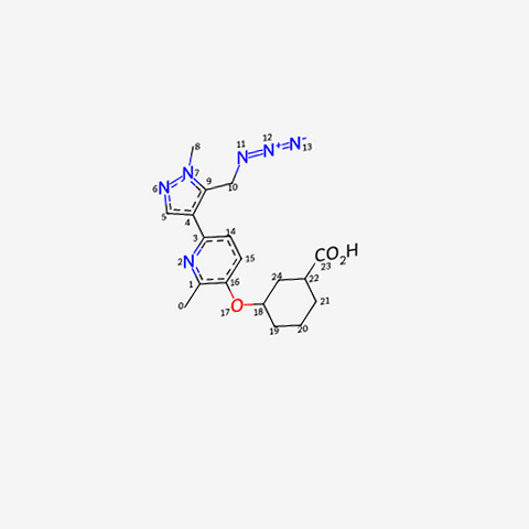 Cc1nc(-c2cnn(C)c2CN=[N+]=[N-])ccc1OC1CCCC(C(=O)O)C1